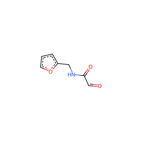 O=CC(=O)NCc1ccco1